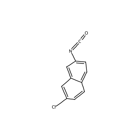 O=C=Nc1ccc2ccc(Cl)cc2c1